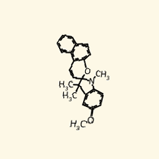 COc1ccc2c(c1)C(C)(C)C1(C=Cc3c(ccc4ccccc34)O1)N2C